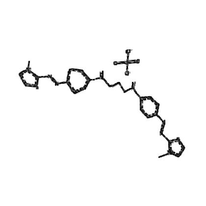 C[n+]1ccsc1N=Nc1ccc(NCCCNc2ccc(N=Nc3scc[n+]3C)cc2)cc1.O=S(=O)([O-])[O-]